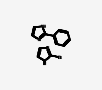 CCc1ncc[nH]1.c1ccc(-c2ncc[nH]2)cc1